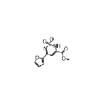 COC(=O)C1=CC(c2ccco2)=NS(=O)(=O)N1